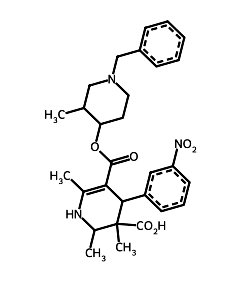 CC1=C(C(=O)OC2CCN(Cc3ccccc3)CC2C)C(c2cccc([N+](=O)[O-])c2)C(C)(C(=O)O)C(C)N1